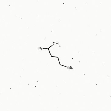 CCC(C)CCCC(C)C(C)C